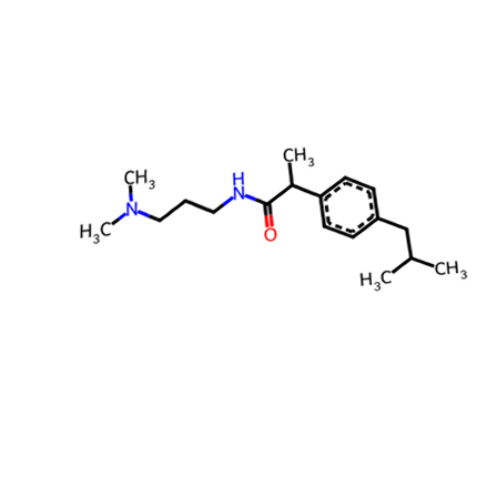 CC(C)Cc1ccc(C(C)C(=O)NCCCN(C)C)cc1